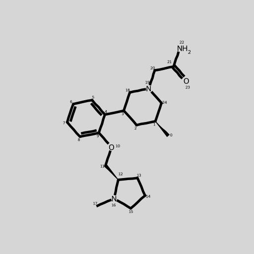 C[C@H]1CC(c2ccccc2OC[C@H]2CCCN2C)CN(CC(N)=O)C1